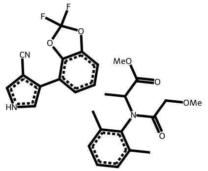 COCC(=O)N(c1c(C)cccc1C)C(C)C(=O)OC.N#Cc1c[nH]cc1-c1cccc2c1OC(F)(F)O2